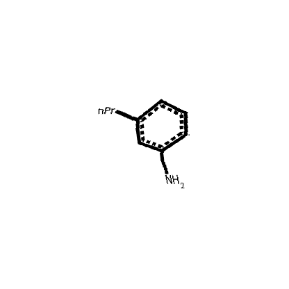 CCCc1cc[c]c(N)c1